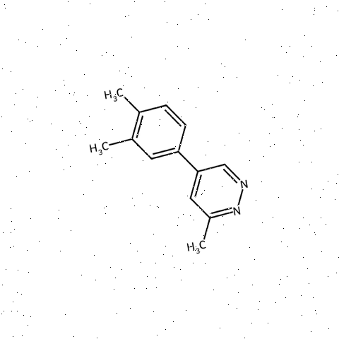 Cc1cc(-c2ccc(C)c(C)c2)cnn1